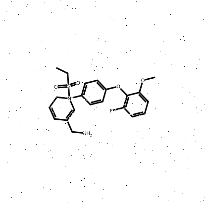 CCS(=O)(=O)[N+]1(c2ccc(Oc3c(F)cccc3OC)cc2)C=C(CN)C=CC1